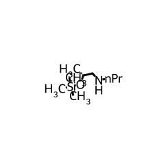 CCCNC[C@@H](C)O[Si](C)(C)C